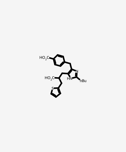 CCCCc1nc(Cc2ccc(C(=O)O)cc2)c(CC(Cc2cccs2)C(=O)O)[nH]1